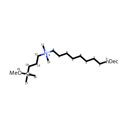 CCCCCCCCCCCCCCCCCC[N+](C)(C)CCC[Si](C)(C)OC